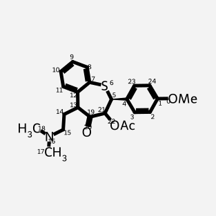 COc1ccc([C@@H]2Sc3ccccc3C(CCN(C)C)C(=O)C2OC(C)=O)cc1